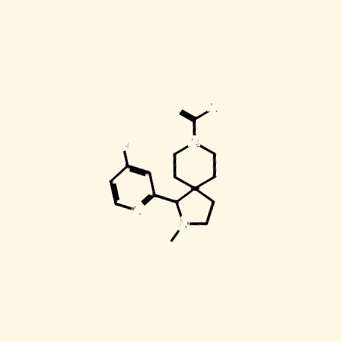 CN1CCC2(CCN(C(N)=O)CC2)C1c1cc(Br)ccn1